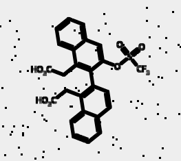 O=C(O)Cc1c(-c2c(OS(=O)(=O)C(F)(F)F)cc3ccccc3c2CC(=O)O)ccc2ccccc12